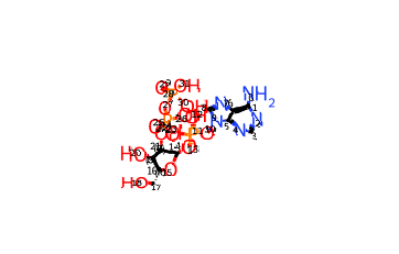 Nc1ncnc2c1ncn2OP(=O)(OC1O[C@H](CO)[C@@H](O)[C@H]1O)OP(=O)(O)OP(=O)(O)O